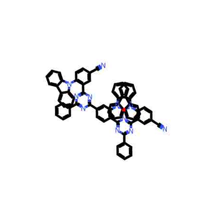 N#Cc1ccc(-n2c3ccccc3c3ccccc32)c(-c2nc(-c3ccccc3)nc(-c3ccc(-c4nc(-c5ccccc5)nc(-c5cc(C#N)ccc5-n5c6ccccc6c6ccccc65)n4)c(-n4c5ccccc5c5ccccc54)c3)n2)c1